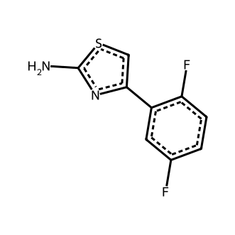 Nc1nc(-c2cc(F)ccc2F)cs1